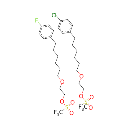 O=S(=O)(OCCOCCCCCCc1ccc(Cl)cc1)C(F)(F)F.O=S(=O)(OCCOCCCCCCc1ccc(F)cc1)C(F)(F)F